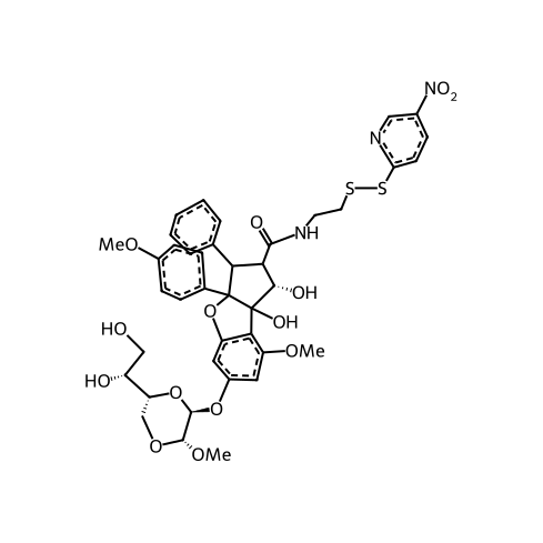 COc1ccc(C23Oc4cc(O[C@@H]5O[C@@H]([C@H](O)CO)CO[C@H]5OC)cc(OC)c4C2(O)[C@@H](O)C(C(=O)NCCSSc2ccc([N+](=O)[O-])cn2)C3c2ccccc2)cc1